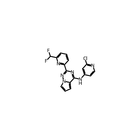 FC(F)c1cccc(-c2nc(Nc3ccnc(Cl)c3)c3cccn3n2)n1